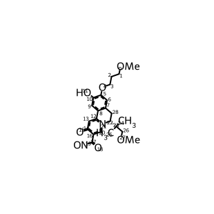 COCCCOc1cc2c(cc1O)-c1cc(=O)c(C(=O)N=O)cn1[C@@H](C(C)(C)COC)C2